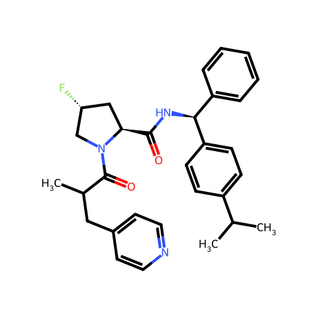 CC(Cc1ccncc1)C(=O)N1C[C@H](F)C[C@H]1C(=O)N[C@@H](c1ccccc1)c1ccc(C(C)C)cc1